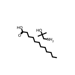 CC(C)(O)CN.CCCCCCCCCCCC(=O)O